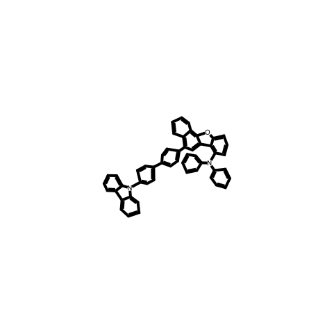 c1ccc(N(c2ccccc2)c2cccc3oc4c5ccccc5c(-c5ccc(-c6ccc(-n7c8ccccc8c8ccccc87)cc6)cc5)cc4c23)cc1